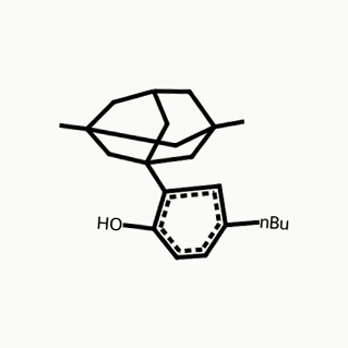 CCCCc1ccc(O)c(C23CC4CC(C)(CC(C)(C4)C2)C3)c1